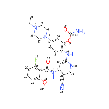 CCN1CCN(c2ccc(Nc3cc(NC(=O)c4c(F)cccc4OC)c(C#N)cn3)c(OC(N)=O)c2)CC1